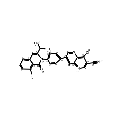 C[C@H](N)c1cc2cccc(Cl)c2c(=O)n1-c1ccc(-c2cnc3c(Cl)c(C#N)cnc3c2)cc1